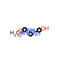 CS(=O)(=O)Nc1cccc(Nc2nccc3[nH]c(-c4ccc(O)cc4)nc23)c1